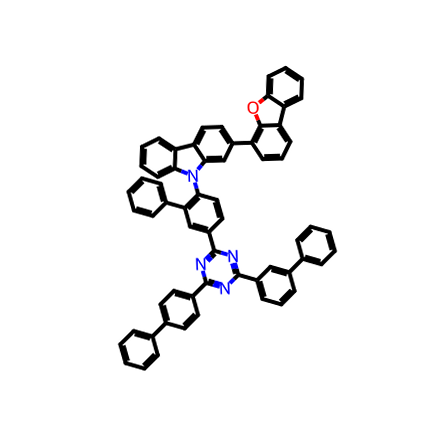 c1ccc(-c2ccc(-c3nc(-c4cccc(-c5ccccc5)c4)nc(-c4ccc(-n5c6ccccc6c6ccc(-c7cccc8c7oc7ccccc78)cc65)c(-c5ccccc5)c4)n3)cc2)cc1